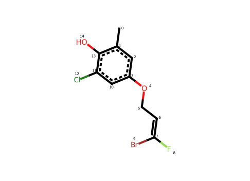 Cc1cc(OCC=C(F)Br)cc(Cl)c1O